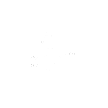 CC.COc1cc(C)ccc1O